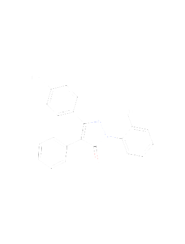 Cc1ccc(-c2[nH]n(-c3ccccc3C)c(=O)c2-c2ccccc2)cc1